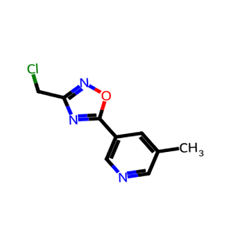 Cc1cncc(-c2nc(CCl)no2)c1